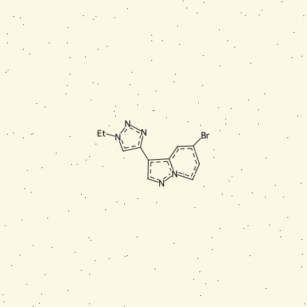 CCn1cc(-c2cnn3ccc(Br)cc23)nn1